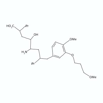 COCCCOc1cc(CC(CC(N)C(O)CC(C(=O)O)C(C)C)C(C)C)ccc1OC